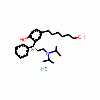 CC(C)N(CC[C@H](c1ccccc1)c1cc(CCCCCCO)ccc1O)C(C)C.Cl